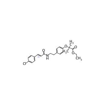 CCOC(=O)C(C)(C)Oc1ccc(CCNC(=O)/C=C/c2ccc(Cl)cc2)cc1